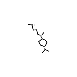 CNCCCN(C)C1CCN(C(C)C)CC1